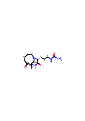 NC(=O)NCCC[C@@H]1C(=O)N[C@H]2CN1CCCCC2=O